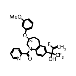 C=C(F)C(O)(c1ccc2c(c1)CC[C@H](Oc1cccc(OC)c1)CN2C(=O)c1ccccn1)C(F)(F)F